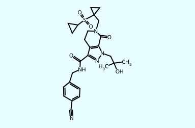 CC(C)(O)Cn1nc(C(=O)NCc2ccc(C#N)cc2)c2c1C(=O)N(CC1(S(=O)(=O)C3CC3)CC1)CC2